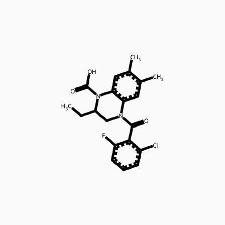 CCC1CN(C(=O)c2c(F)cccc2Cl)c2cc(C)c(C)cc2N1C(=O)O